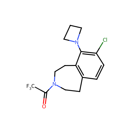 O=C(N1CCc2ccc(Cl)c(N3CCC3)c2CC1)C(F)(F)F